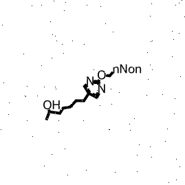 CCCCCCCCCCOc1ncc(CCCCCC(C)O)cn1